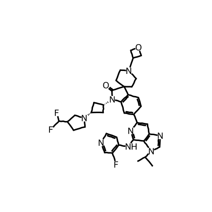 CC(C)n1cnc2cc(-c3ccc4c(c3)N([C@H]3C[C@@H](N5CCC(C(F)F)C5)C3)C(=O)C43CCN(C4COC4)CC3)nc(Nc3ccncc3F)c21